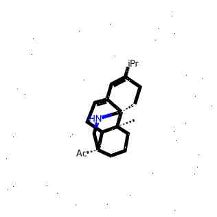 CC(=O)[C@@]12CCC[C@@]3(C)C1CC=C1C=C(C(C)C)CC[C@]13NC2